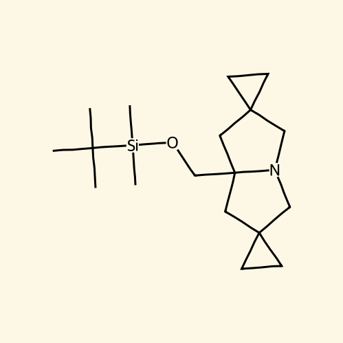 CC(C)(C)[Si](C)(C)OCC12CC3(CC3)CN1CC1(CC1)C2